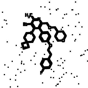 CCc1c(C)nc(COCC2CCOCC2)c(-c2ccc(OCCc3ccc(F)cc3)cc2)c1N1CCC2(CCC2)CC1